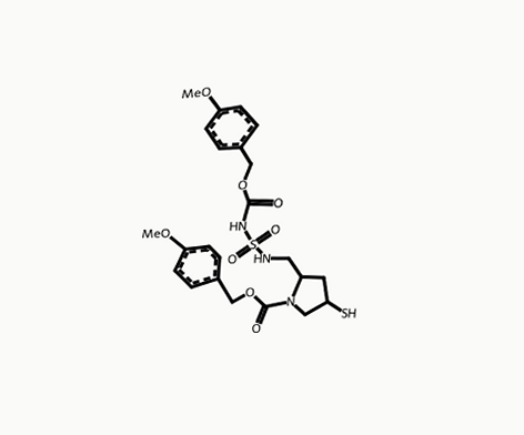 COc1ccc(COC(=O)NS(=O)(=O)NCC2CC(S)CN2C(=O)OCc2ccc(OC)cc2)cc1